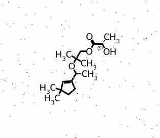 CC(OC(C)(C)COC(=O)[C@H](C)O)C1=CC(C)(C)CC1